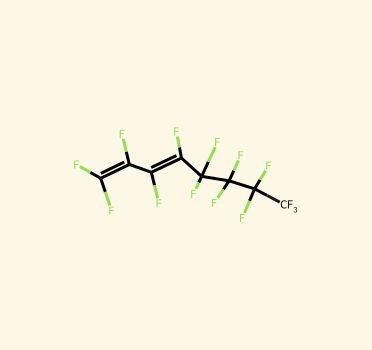 FC(F)=C(F)C(F)=C(F)C(F)(F)C(F)(F)C(F)(F)C(F)(F)F